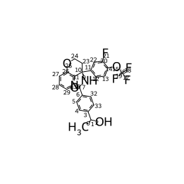 C[C@H](O)c1ccc(C(=O)N[C@]2(c3ccc(OC(F)(F)F)c(F)c3)CCOc3cccnc32)cc1